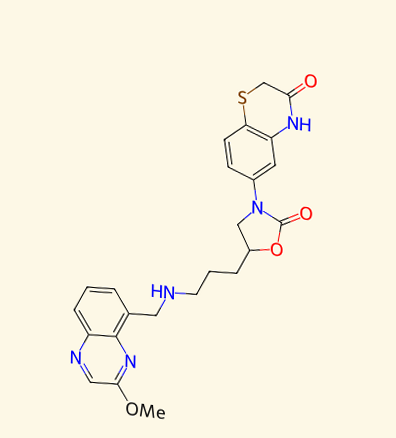 COc1cnc2cccc(CNCCCC3CN(c4ccc5c(c4)NC(=O)CS5)C(=O)O3)c2n1